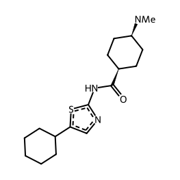 CN[C@H]1CC[C@@H](C(=O)Nc2ncc(C3CCCCC3)s2)CC1